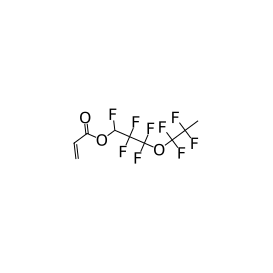 C=CC(=O)OC(F)C(F)(F)C(F)(F)OC(F)(F)C(C)(F)F